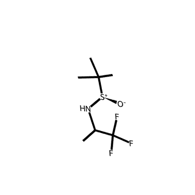 CC(N[S@+]([O-])C(C)(C)C)C(F)(F)F